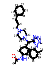 CC(=O)Nc1ccc(C(c2nnnn2-c2c(C)cccc2C)N2CCN(CC=Cc3ccccc3)CC2)cc1